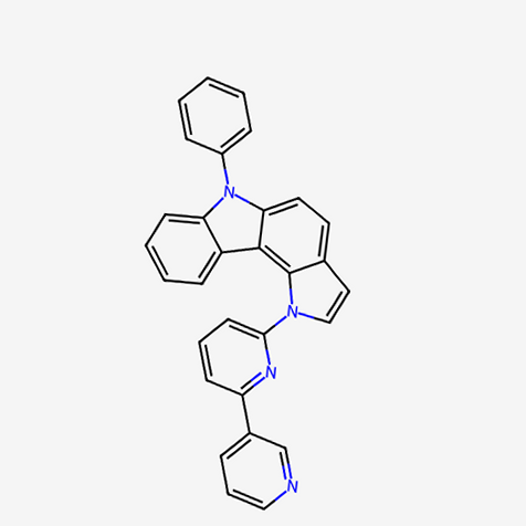 c1ccc(-n2c3ccccc3c3c4c(ccc32)ccn4-c2cccc(-c3cccnc3)n2)cc1